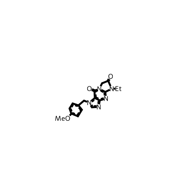 CCN1C(=O)Cn2c1nc1ncn(Cc3ccc(OC)cc3)c1c2=O